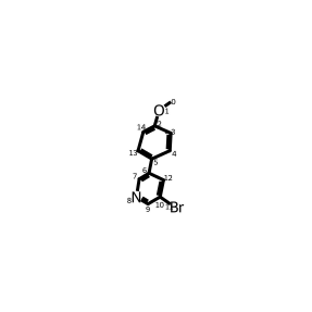 COc1[c]cc(-c2cncc(Br)c2)cc1